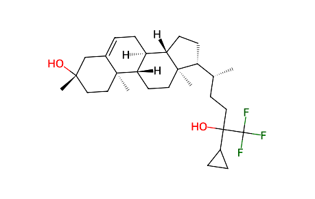 C[C@H](CCC(O)(C1CC1)C(F)(F)F)[C@H]1CC[C@H]2[C@@H]3CC=C4C[C@@](C)(O)CC[C@]4(C)[C@H]3CC[C@]12C